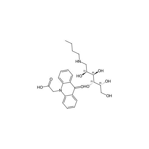 CCCCNC[C@H](O)[C@@H](O)[C@@H](O)[C@H](O)CO.O=C(O)Cn1c2ccccc2c(=O)c2ccccc21